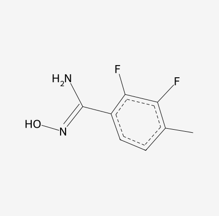 Cc1ccc(/C(N)=N/O)c(F)c1F